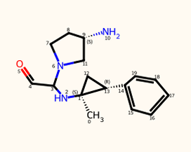 C[C@]1(NC(C=O)N2CC[C@H](N)C2)C[C@@H]1c1ccccc1